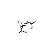 Br.CC(C)N=C=NC(C)C